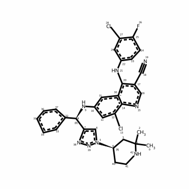 CC1(C)C[C@H](n2cc([C@H](Nc3cc(Cl)c4ncc(C#N)c(Nc5ccc(F)c(Cl)c5)c4c3)c3ccccc3)nn2)CCN1